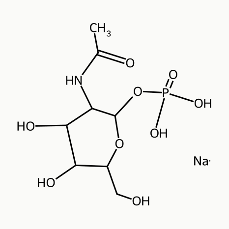 CC(=O)NC1C(OP(=O)(O)O)OC(CO)C(O)C1O.[Na]